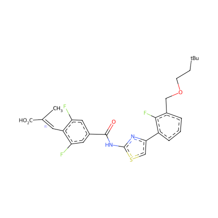 C/C(=C\c1c(F)cc(C(=O)Nc2nc(-c3cccc(COCCC(C)(C)C)c3F)cs2)cc1F)C(=O)O